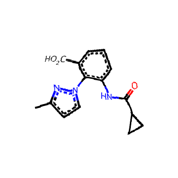 Cc1ccn(-c2c(NC(=O)C3CC3)cccc2C(=O)O)n1